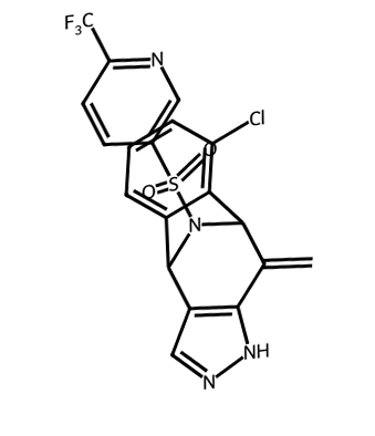 C=C1c2[nH]ncc2C2c3cccc(Cl)c3C1N2S(=O)(=O)c1ccc(C(F)(F)F)nc1